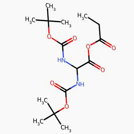 CCC(=O)OC(=O)C(NC(=O)OC(C)(C)C)NC(=O)OC(C)(C)C